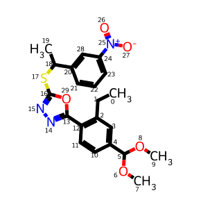 CCc1cc(C(OC)OC)ccc1-c1nnc(SC(C)c2cccc([N+](=O)[O-])c2)o1